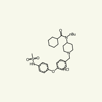 CCCCN(C(=O)C1CCCCC1)C1CCN(Cc2ccc(Oc3ccc(NS(C)(=O)=O)cc3)cc2)CC1.Cl